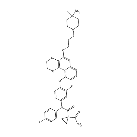 CC1(N)CCN(CCCOc2cc3nccc(Oc4ccc(N(C(=O)C5(C(N)=O)CC5)c5ccc(F)cc5)cc4F)c3c3c2OCCO3)CC1